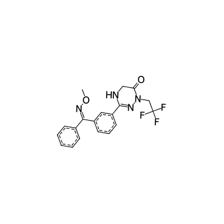 CON=C(c1ccccc1)c1cccc(C2=NN(CC(F)(F)F)C(=O)CN2)c1